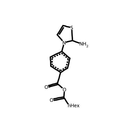 CCCCCCC(=O)OC(=O)c1ccc(N2C=CSC2N)cc1